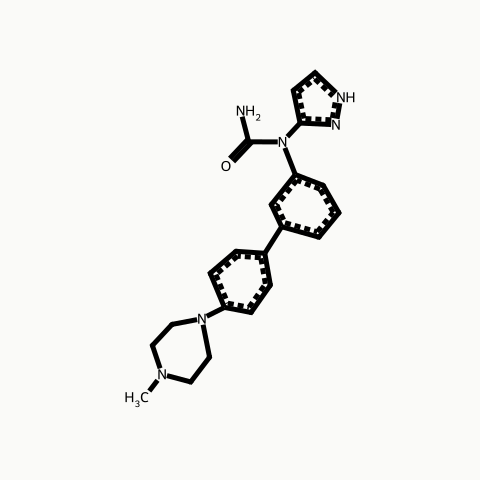 CN1CCN(c2ccc(-c3cccc(N(C(N)=O)c4cc[nH]n4)c3)cc2)CC1